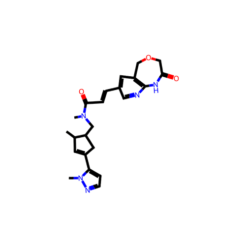 CC1C=C(c2ccnn2C)CC1CN(C)C(=O)/C=C/c1cnc2c(c1)COCC(=O)N2